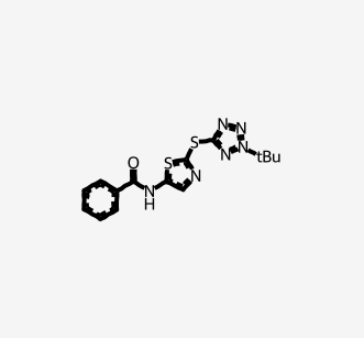 CC(C)(C)n1nnc(Sc2ncc(NC(=O)c3ccccc3)s2)n1